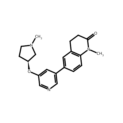 CN1CC[C@H](Oc2cncc(-c3ccc4c(c3)CCC(=O)N4C)c2)C1